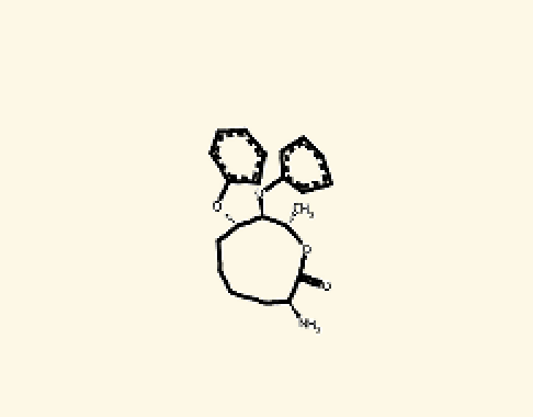 C[C@@H]1OC(=O)[C@@H](N)CCCC[C@H](Oc2ccccc2)[C@H]1Oc1ccccc1